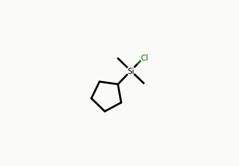 C[Si](C)(Cl)C1CCCC1